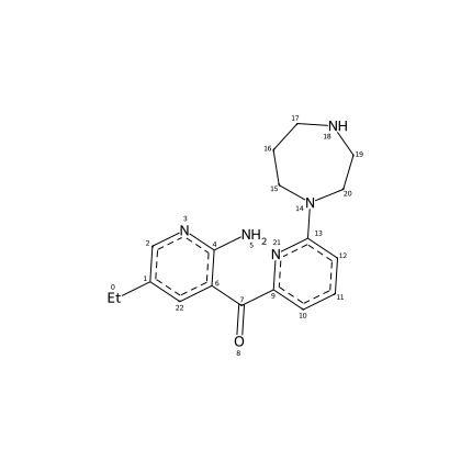 CCc1cnc(N)c(C(=O)c2cccc(N3CCCNCC3)n2)c1